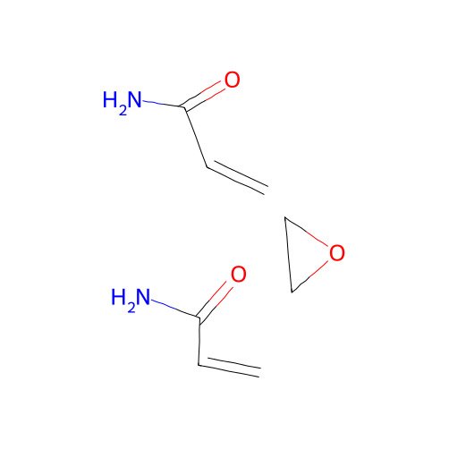 C1CO1.C=CC(N)=O.C=CC(N)=O